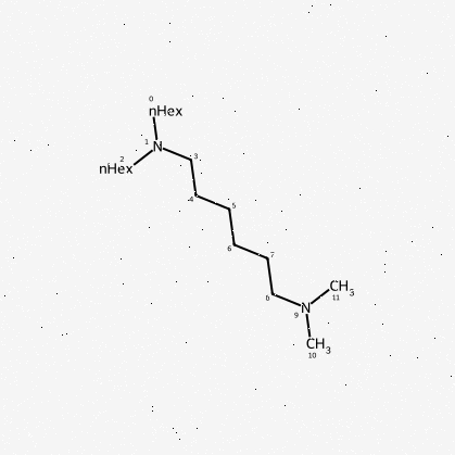 CCCCCCN(CCCCCC)CCCCCCN(C)C